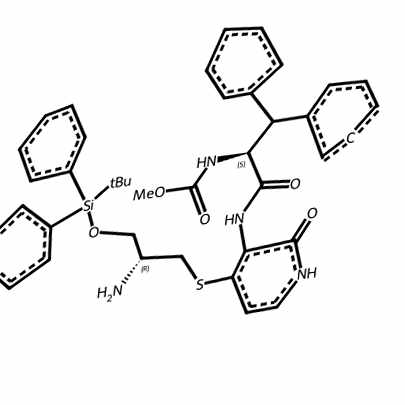 COC(=O)N[C@H](C(=O)Nc1c(SC[C@H](N)CO[Si](c2ccccc2)(c2ccccc2)C(C)(C)C)cc[nH]c1=O)C(c1ccccc1)c1ccccc1